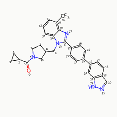 O=C(C1CC1)N1CC[C@@H](Cn2c(-c3ccc(-c4ccc5cn[nH]c5c4)cc3)nc3c(C(F)(F)F)cccc32)C1